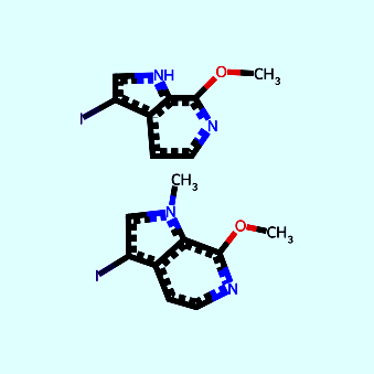 COc1nccc2c(I)c[nH]c12.COc1nccc2c(I)cn(C)c12